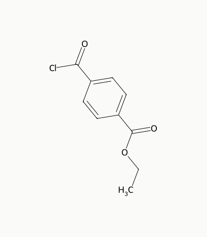 CCOC(=O)c1ccc(C(=O)Cl)cc1